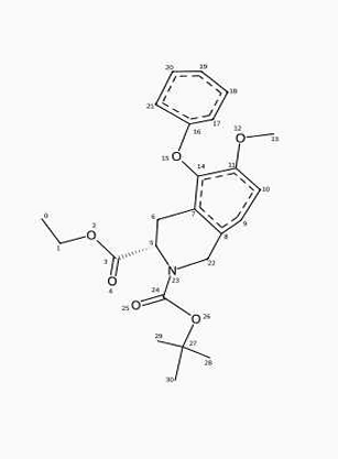 CCOC(=O)[C@@H]1Cc2c(ccc(OC)c2Oc2ccccc2)CN1C(=O)OC(C)(C)C